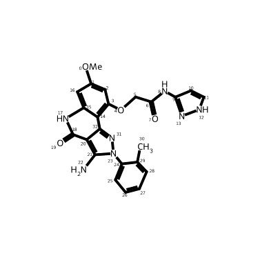 COc1cc(OCC(=O)Nc2cc[nH]n2)c2c(c1)[nH]c(=O)c1c(N)n(-c3ccccc3C)nc12